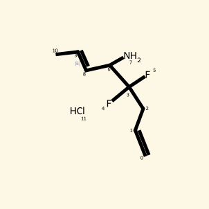 C=CCC(F)(F)C(N)/C=C/C.Cl